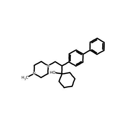 CN1CCN(CC(c2ccc(-c3ccccc3)cc2)C2(O)CCCCC2)CC1